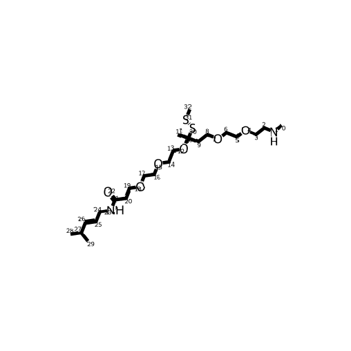 CNCCOCCOCCC(C)(OCCOCCOCCC(=O)NC/C=C/C(C)C)SSC